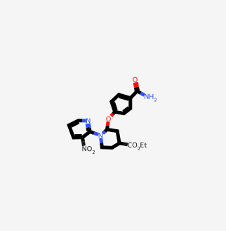 CCOC(=O)C1CCN(c2ncccc2[N+](=O)[O-])C(Oc2ccc(C(N)=O)cc2)C1